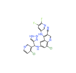 N#Cc1cnc2c(Cl)cc(N[C@H](c3c[nH]nn3)c3cnccc3Cl)cc2c1Nc1cnc(F)c(F)c1